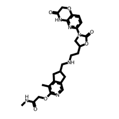 CNC(=O)COc1ncc2c(c1C)CC(CNCCC1CN(c3ccc4c(n3)NC(=O)CO4)C(=O)O1)C2